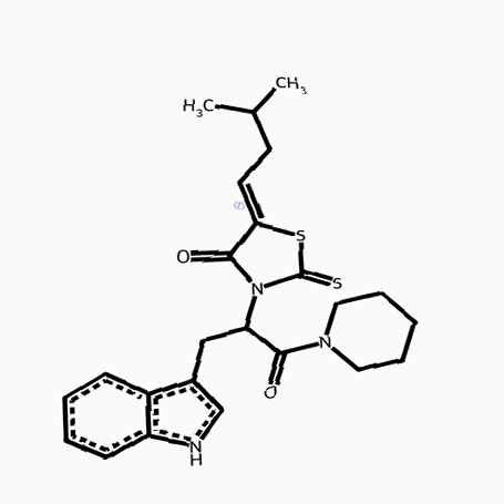 CC(C)C/C=C1\SC(=S)N(C(Cc2c[nH]c3ccccc23)C(=O)N2CCCCC2)C1=O